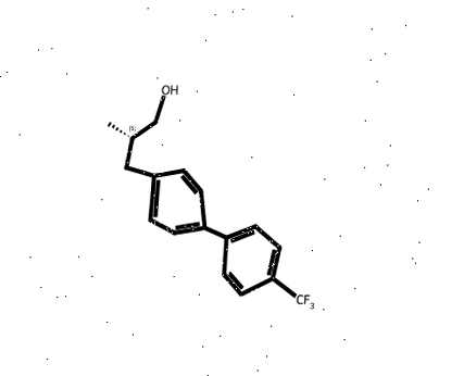 C[C@H](CO)Cc1ccc(-c2ccc(C(F)(F)F)cc2)cc1